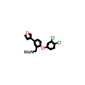 CNCc1cc(-c2ccoc2)ccc1Oc1ccc(Cl)c(Cl)c1